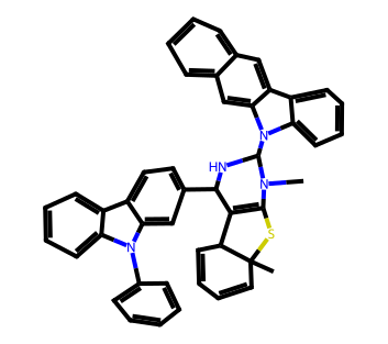 CN1C2=C(C(c3ccc4c5ccccc5n(-c5ccccc5)c4c3)NC1n1c3ccccc3c3cc4ccccc4cc31)C1C=CC=CC1(C)S2